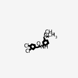 CCN(CC)Sc1cccc(NC(=O)Cc2ccc(Cl)c(Cl)c2)c1